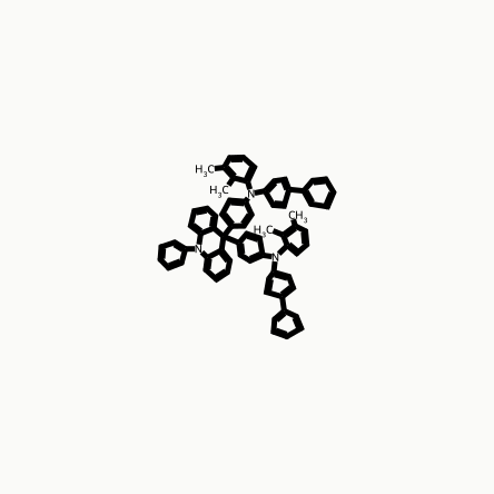 Cc1cccc(N(c2ccc(-c3ccccc3)cc2)c2ccc(C3(c4ccc(N(c5ccc(-c6ccccc6)cc5)c5cccc(C)c5C)cc4)c4ccccc4N(c4ccccc4)c4ccccc43)cc2)c1C